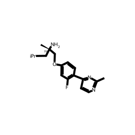 Cc1nccc(-c2ccc(OC[C@@](C)(N)CC(C)C)cc2F)n1